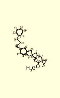 COC(=O)C1(CN2CC3(Cc4ccc(OCCc5ccccc5)cc4C3)C2)CC1